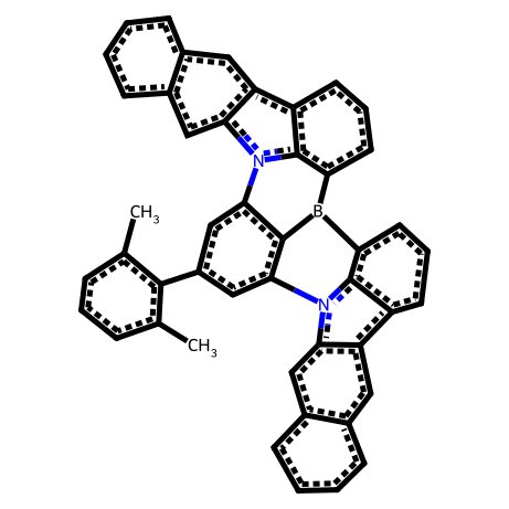 Cc1cccc(C)c1-c1cc2c3c(c1)-n1c4cc5ccccc5cc4c4cccc(c41)B3c1cccc3c4cc5ccccc5cc4n-2c13